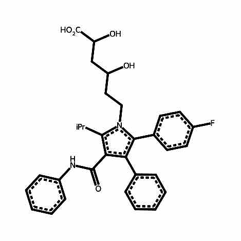 CC(C)c1c(C(=O)Nc2ccccc2)c(-c2ccccc2)c(-c2ccc(F)cc2)n1CCC(O)CC(O)C(=O)O